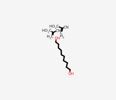 C=C(C#N)C(=O)O.C=C(C#N)C(=O)O.OCCCCCCCCCCO